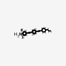 CCCC1CCC(C#Cc2ccc(C#Cc3cc(F)c(N)c(F)c3)cc2)CC1